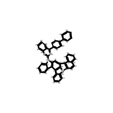 c1ccc(-c2ccc(-c3nc(-n4c5ccccc5c5c6c7ccccc7n7c8ccc9ccccc9c8c(cc54)c67)nc4ccccc34)cc2)cc1